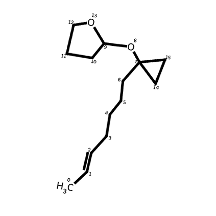 CC=CCCCCC1(OC2CCCO2)CC1